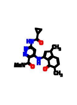 CNC(=O)c1nnc(NC(=O)C2CC2)cc1NC1=CC(C)C2=C1C(=O)C(C)C=C2